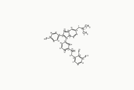 CN(C)Cc1ccn2c(-c3ccnc(NCc4cccc(F)c4F)n3)c(-c3ccc(F)cc3)nc2c1